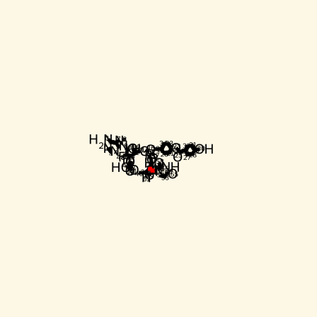 Nc1ncnc2c1ncn2[C@@H]1O[C@@H]2COP(=O)(SCc3ccc(OC(=O)c4ccc(O)cc4)cc3)O[C@@H]3[C@H](F)[C@@H](COP(=O)(O)O[C@H]2[C@H]1F)O[C@H]3N1C=CC(=O)NC1O